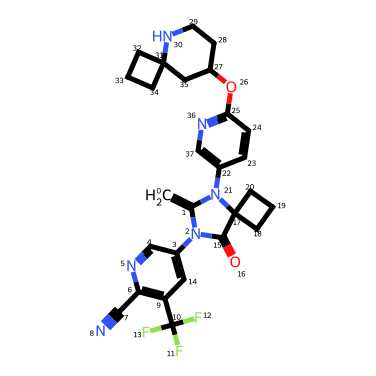 C=C1N(c2cnc(C#N)c(C(F)(F)F)c2)C(=O)C2(CCC2)N1c1ccc(OC2CCNC3(CCC3)C2)nc1